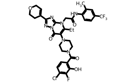 CCc1c(N2CCN(C(=O)c3ccc(Cl)c(F)c3O)CC2)c(=O)n2nc(C3=CCOCC3)nc2n1CC(=O)Nc1ccc(C(F)(F)F)cc1C